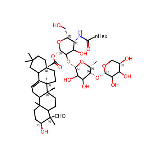 CCCCCCC(=O)N[C@@H]1C(O)C(O[C@@H]2O[C@H](C)[C@H](O[C@@H]3OC[C@@H](O)C(O)C3O)C(O)C2O)[C@H](OC(=O)[C@]23CCC(C)(C)CC2C2=CCC4C5(C)CC[C@H](O)[C@](C)(C=O)C5CC[C@@]4(C)[C@]2(C)CC3)O[C@@H]1CO